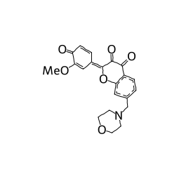 COC1=C/C(=C2\Oc3cc(CN4CCOCC4)ccc3C(=O)C2=O)C=CC1=O